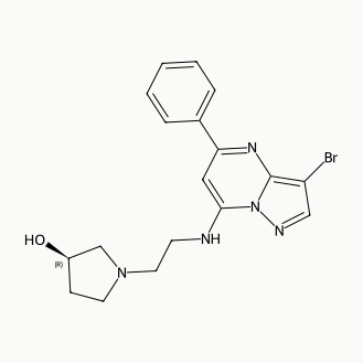 O[C@@H]1CCN(CCNc2cc(-c3ccccc3)nc3c(Br)cnn23)C1